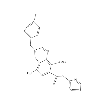 Bc1cc(C(=O)Sc2ccccn2)c(OC)c2ncc(Cc3ccc(F)cc3)cc12